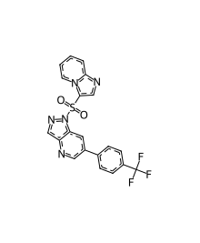 O=S(=O)(c1cnc2ccccn12)n1ncc2ncc(-c3ccc(C(F)(F)F)cc3)cc21